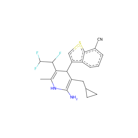 CC1=C(C(F)C(F)F)C(c2csc3c(C#N)cccc23)C(CC2CC2)=C(N)N1